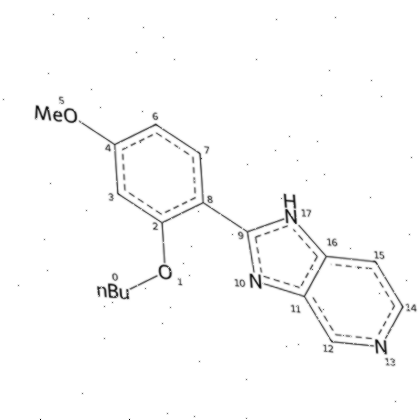 CCCCOc1cc(OC)ccc1-c1nc2cnccc2[nH]1